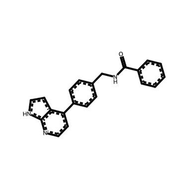 O=C(NCc1ccc(-c2ccnc3[nH]ccc23)cc1)c1ccccc1